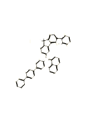 CC1(C)c2ccc(N(c3ccc(-c4ccc(-c5ccccc5)cc4)cc3)c3cccc4ccccc34)cc2-c2c1ccc1c2oc2ccccc21